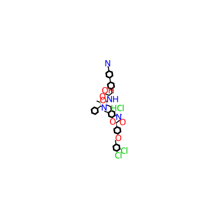 CC[C@@H](c1ccccc1)N1Cc2cc3c(cc2C[C@H]1C(=O)NC(Cc1ccc(-c2ccc(C#N)cc2)cc1)C(=O)O)N(C)C(=O)[C@@H](c1ccc(OCc2ccc(Cl)c(Cl)c2)cc1)O3.Cl